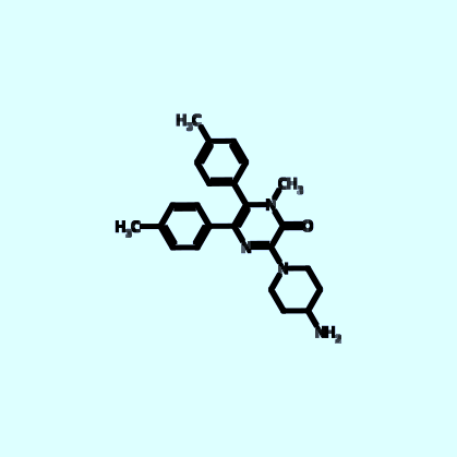 Cc1ccc(-c2nc(N3CCC(N)CC3)c(=O)n(C)c2-c2ccc(C)cc2)cc1